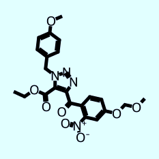 CCOC(=O)c1c(C(=O)c2ccc(OCOC)cc2[N+](=O)[O-])nnn1Cc1ccc(OC)cc1